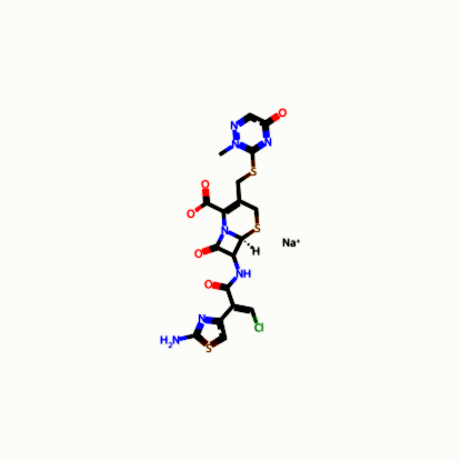 Cn1ncc(=O)nc1SCC1=C(C(=O)[O-])N2C(=O)C(NC(=O)C(=CCl)c3csc(N)n3)[C@@H]2SC1.[Na+]